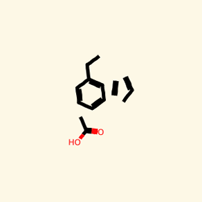 C=C.C=CC.CC(=O)O.CCc1ccccc1